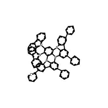 c1ccc(-c2ccc3c(c2)-c2cc(-c4ccccc4)cc4c2B3c2cc(-n3c5ccccc5c5ccccc53)c(-n3c5ccccc5c5ccccc53)c3c2N4c2cc(-c4ccccc4)cc4c2B3c2ccc(-c3ccccc3)cc2-4)cc1